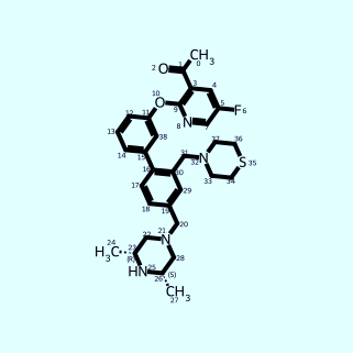 CC(=O)c1cc(F)cnc1Oc1cccc(-c2ccc(CN3C[C@@H](C)N[C@@H](C)C3)cc2CN2CCSCC2)c1